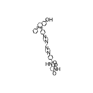 O=C1CCC(NC(=O)c2ccc(N3CCN(CCN4CCN(c5ccc([C@@H]6c7ccc(O)cc7CC[C@@H]6c6ccccc6)cc5)CC4)CC3)cc2)C(=O)N1